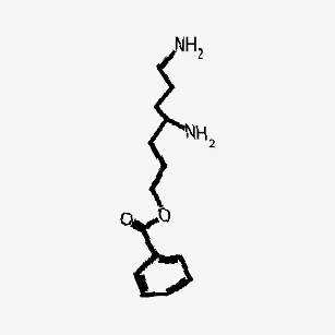 NCCCC(N)CCCOC(=O)c1ccccc1